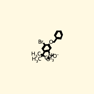 CC(C)(C)c1cc(Br)c(OCc2ccccc2)cc1[N+](=O)[O-]